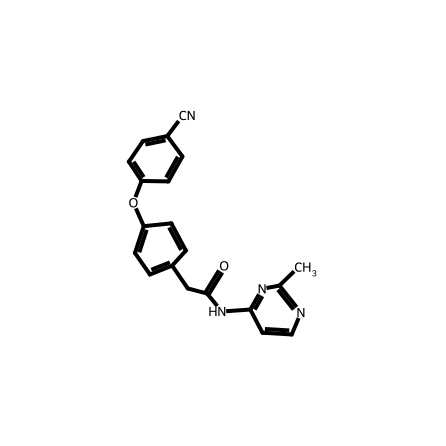 Cc1nccc(NC(=O)Cc2ccc(Oc3ccc(C#N)cc3)cc2)n1